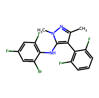 Cc1nn(C)c(Nc2c(F)cc(F)cc2Br)c1-c1c(F)cccc1F